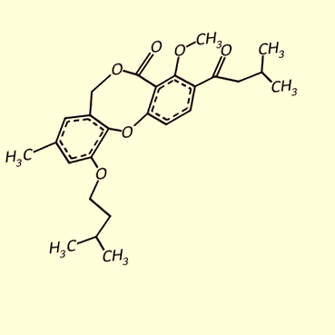 COc1c(C(=O)CC(C)C)ccc2c1C(=O)OCc1cc(C)cc(OCCC(C)C)c1O2